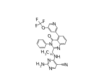 C[C@@H](Nc1nc(N)ncc1C#N)c1nc2cccc(-c3cncc(OC(F)(F)F)c3)c2c(=O)n1-c1ccccc1